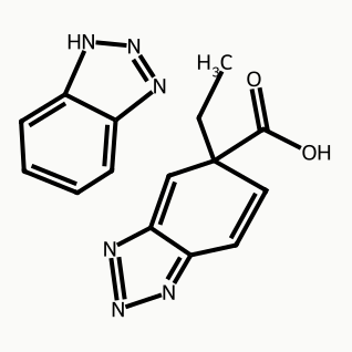 CCC1(C(=O)O)C=CC2=NN=NC2=C1.c1ccc2[nH]nnc2c1